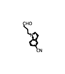 N#Cc1ccc2c(ccn2CCCC=O)c1